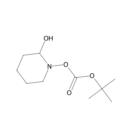 CC(C)(C)OC(=O)ON1CCCCC1O